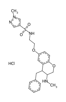 CNC1COc2ccc(OCCNS(=O)(=O)c3cnn(C)c3)cc2C1Cc1ccccc1.Cl